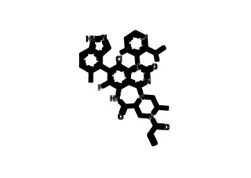 C=CC(=O)N1CC2C(=O)Nc3c(F)c(-c4c(C)ccc5[nH]ncc45)c(Cl)c4c3c(nc(=O)n4-c3c(C)ccnc3C(C)C)N2CC1C